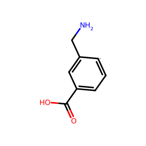 NCc1[c]ccc(C(=O)O)c1